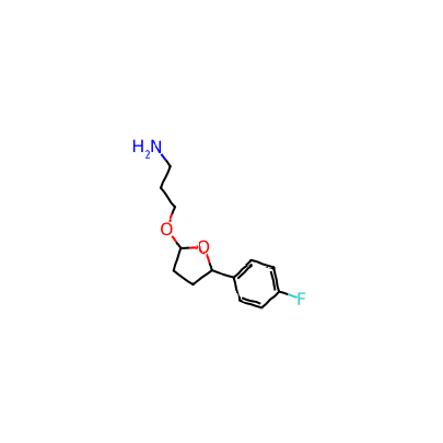 NCCCOC1CCC(c2ccc(F)cc2)O1